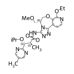 CCOc1nccc2c1OC[C@@H](COC)n1c(NS(=O)(=O)[C@@H](C)[C@@H](OC(C)C)c3ncc(C)cn3)nnc1-2